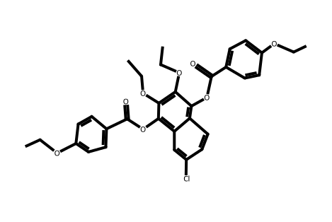 CCOc1ccc(C(=O)Oc2c(OCC)c(OCC)c(OC(=O)c3ccc(OCC)cc3)c3cc(Cl)ccc23)cc1